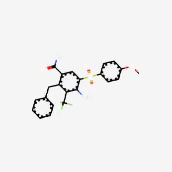 COc1ccc(S(=O)(=O)c2cc(C(N)=O)c(Cc3ccccc3)c(C(F)(F)F)c2N)cc1